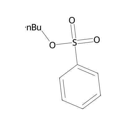 CCC[CH]OS(=O)(=O)c1ccccc1